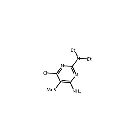 CCN(CC)c1nc(N)c(SC)c(Cl)n1